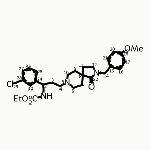 CCOC(=O)NC(CCN1CCC2(CC1)CCN(Cc1ccc(OC)cc1)C2=O)c1cccc(Cl)c1